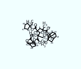 CCC1(OC(=O)C(C)(CC(C)(C)C(=O)OC23CC4CC(CC(OC)(C4)C2)C3)CC(C)(CC)C(=O)OC2C3CC4C(=O)OC2C4C3)CCCC1